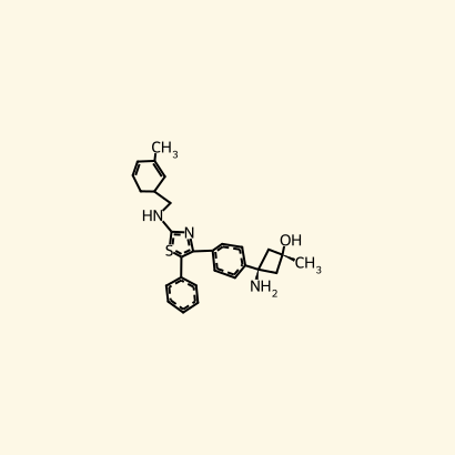 CC1=CC(CNc2nc(-c3ccc([C@]4(N)C[C@](C)(O)C4)cc3)c(-c3ccccc3)s2)CC=C1